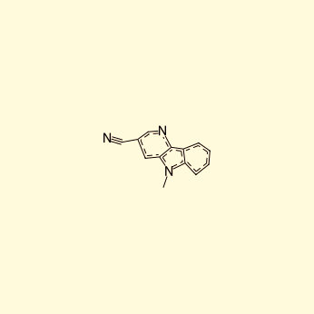 Cn1c2ccccc2c2ncc(C#N)cc21